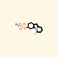 CS(=O)(=O)OC1CCc2[c]c3cccc(F)n3c2C1